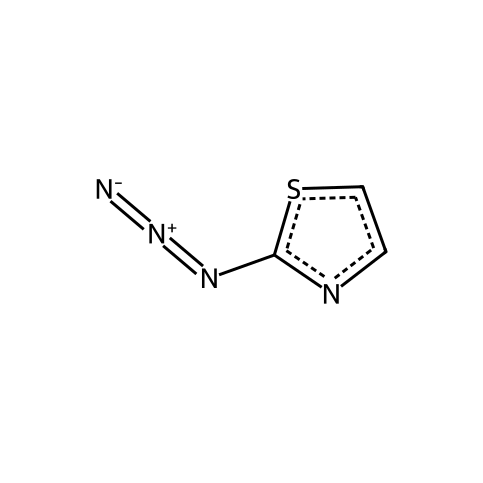 [N-]=[N+]=Nc1nccs1